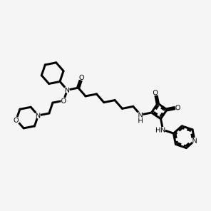 O=C(CCCCCCNc1c(Nc2ccncc2)c(=O)c1=O)N(OCCN1CCOCC1)C1CCCCC1